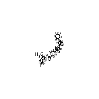 Cc1cc(C(F)(F)F)nn1CC(=O)N1CCC(c2nc(-c3cc(C4=CCCC=C4)no3)cs2)CC1